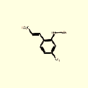 CCCCNc1cc(C(F)(F)F)ccc1C=CC(=O)O